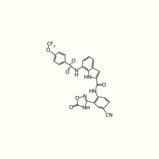 N#Cc1ccc(NC(=O)c2cc3cccc(NS(=O)(=O)c4ccc(OC(F)(F)F)cc4)c3[nH]2)c(-c2noc(=O)[nH]2)c1